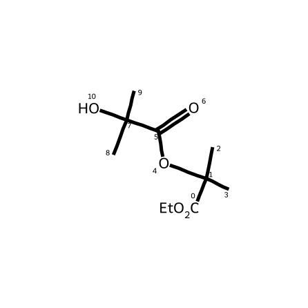 CCOC(=O)C(C)(C)OC(=O)C(C)(C)O